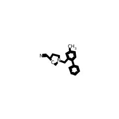 Cc1ccc(-c2ccccc2)c(CN2CCC(C#N)CC2)c1